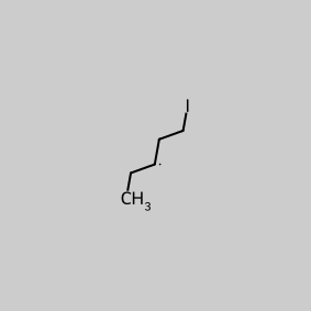 CC[CH]CCI